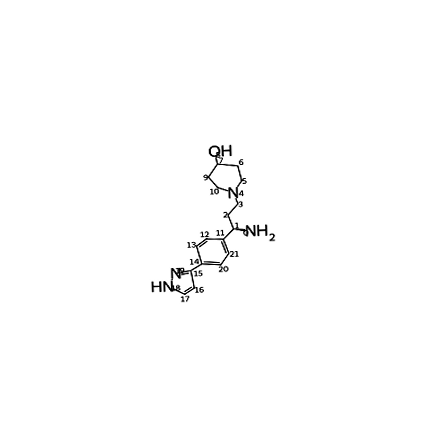 N[C@H](CCN1CCC(O)CC1)c1ccc(-c2cc[nH]n2)cc1